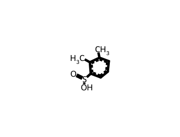 Cc1cccc(S(=O)O)c1C